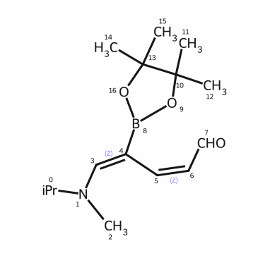 CC(C)N(C)/C=C(\C=C/C=O)B1OC(C)(C)C(C)(C)O1